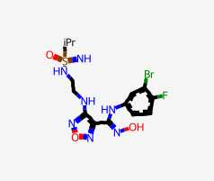 CC(C)S(=N)(=O)NCCNc1nonc1/C(=N/O)Nc1ccc(F)c(Br)c1